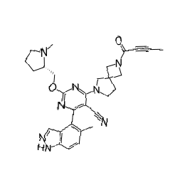 CC#CC(=O)N1CC2(CCN(c3nc(OC[C@@H]4CCCN4C)nc(-c4c(C)ccc5[nH]ncc45)c3C#N)C2)C1